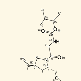 C=C[C@@H]1C[C@@H](COC)N(C(=O)CNC(=O)OC(C)C(C)C)C1